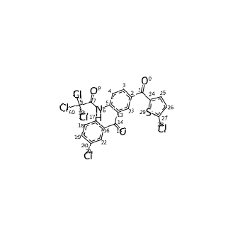 O=C(c1ccc(NC(=O)C(Cl)(Cl)Cl)c(C(=O)c2cccc(Cl)c2)c1)c1ccc(Cl)s1